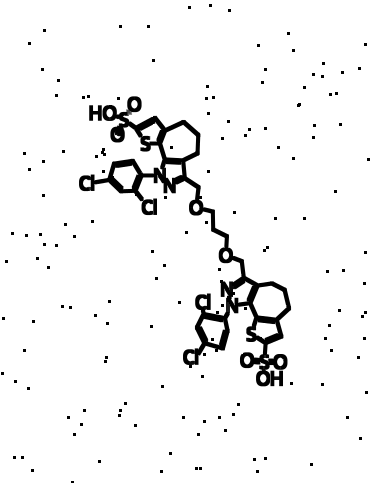 O=S(=O)(O)c1cc2c(s1)-c1c(c(COCCCOCc3nn(-c4ccc(Cl)cc4Cl)c4c3CCCc3cc(S(=O)(=O)O)sc3-4)nn1-c1ccc(Cl)cc1Cl)CCC2